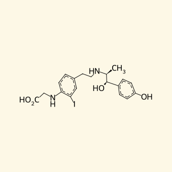 C[C@H](NCCc1ccc(NCC(=O)O)c(I)c1)[C@H](O)c1ccc(O)cc1